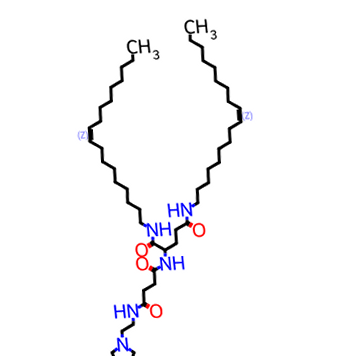 CCCCCCCC/C=C\CCCCCCCCNC(=O)CCC(NC(=O)CCC(=O)NCCN1CCCC1)C(=O)NCCCCCCCC/C=C\CCCCCCCC